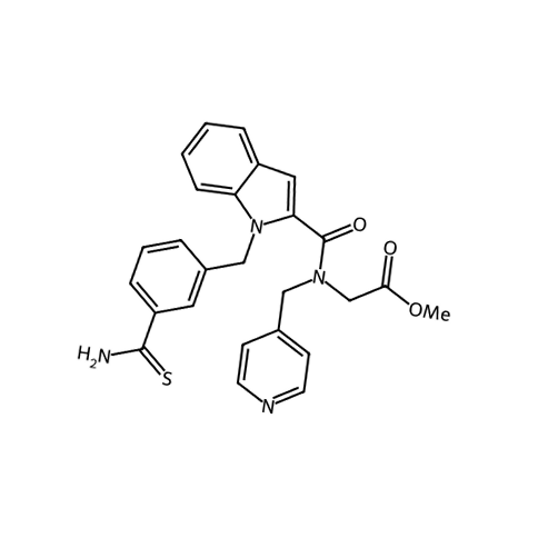 COC(=O)CN(Cc1ccncc1)C(=O)c1cc2ccccc2n1Cc1cccc(C(N)=S)c1